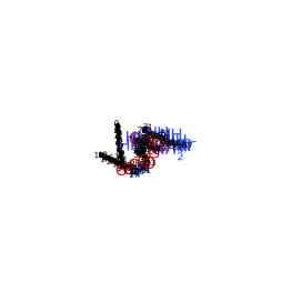 CCC=CCC=CCCCCCC(CCCCCCC)C(=O)COC(=O)N(C)CCN(C)C(=O)OCc1ccc(NC(=O)[C@H](CCCNC(N)=O)NC(=O)[C@@H](NC(=O)CC[C@@H](N)C(=O)NCCN=[N+]=[N-])C(C)C)cc1